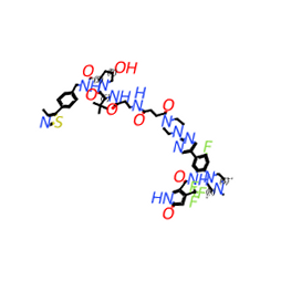 Cc1ncsc1-c1ccc(CNC(=O)[C@@H]2C[C@@H](O)CN2C(=O)[C@@H](NC(=O)CCNC(=O)CCC(=O)N2CCN(c3ncc(-c4cc(NC(=O)c5c[nH]c(=O)cc5C(F)(F)F)c(N5C[C@@H](C)N(C)[C@@H](C)C5)cc4F)cn3)CC2)C(C)(C)C)cc1